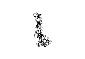 CC(=O)c1c(C)c2cnc(Nc3ccc(N4CCN(c5ccc([C@H](C)Cl)cc5)CC4)cn3)nc2n(C2CCCC2)c1=O